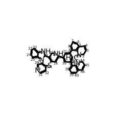 CN1CC=Cc2cccc(-c3cc(C4=CC5=C(CN4)C4Nc6ccccc6N4c4cnccc4S5)cc(-c4cccc5c4NCC=C5)c3)c21